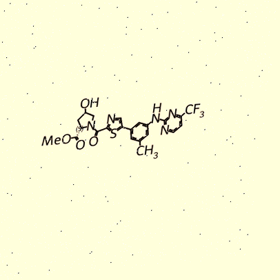 COC(=O)[C@@H]1CC(O)CN1C(=O)c1ncc(-c2cc(C)cc(Nc3nccc(C(F)(F)F)n3)c2)s1